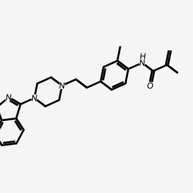 C=C(C)C(=O)Nc1ccc(CCN2CCN(c3nsc4ccccc34)CC2)cc1C